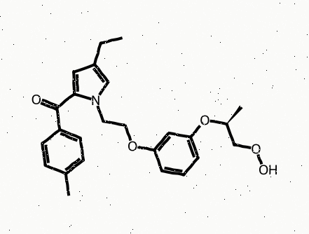 CCc1cc(C(=O)c2ccc(C)cc2)n(CCOc2cccc(O[C@@H](C)COO)c2)c1